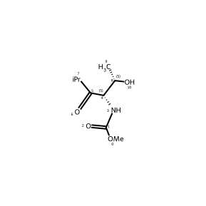 COC(=O)N[C@H](C(=O)C(C)C)[C@H](C)O